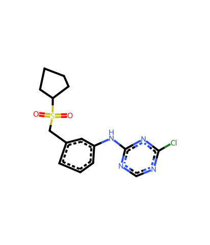 O=S(=O)(Cc1cccc(Nc2ncnc(Cl)n2)c1)C1CCCC1